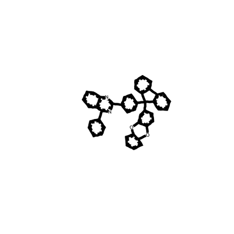 c1ccc(-c2nc(-c3ccc(C4(c5ccc6c(c5)Oc5ccccc5O6)c5ccccc5-c5ccccc54)cc3)nc3ccccc23)cc1